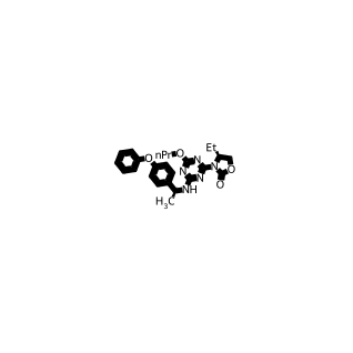 CCCOc1nc(N[C@@H](C)c2ccc(Oc3ccccc3)cc2)nc(N2C(=O)OC[C@@H]2CC)n1